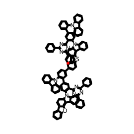 c1ccc(-c2nc(-c3ccccc3)nc(-c3cc(-c4cc(-c5ccc6sc7c(ccc8c7c7ccccc7n8-c7ccc(-c8ccccc8-n8c9ccccc9c9ccccc98)cc7-c7nc(-c8ccccc8)nc(-c8ccccc8)n7)c6c5)ccc4-n4c5ccccc5c5ccccc54)ccc3-n3c4ccccc4c4c5oc6ccccc6c5ccc43)n2)cc1